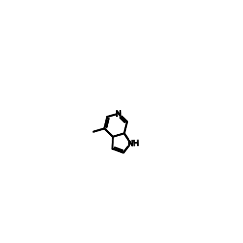 CC1=CN=CC2NC=CC12